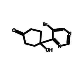 O=C1CCC(O)(c2ncncc2Br)CC1